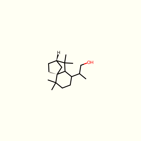 CC(CO)C1CCC(C)(C)[C@@]23CC[C@@H](C2)C(C)(C)C13